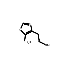 CC(C)(C)CCc1ncsc1C(=O)O